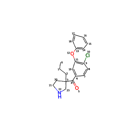 CCCC1(C(=O)c2ccc(Cl)c(Oc3ccccc3)c2)CCNC1